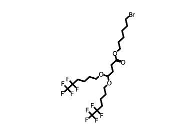 O=C(CCC(OCCCCC(F)(F)C(F)(F)F)OCCCCC(F)(F)C(F)(F)F)OCCCCCCBr